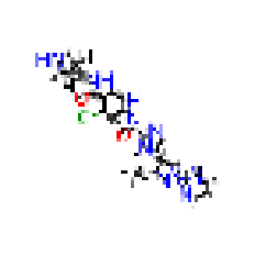 Cn1c(-c2cn(-c3ncccn3)nc2C(F)(F)F)cnc1C(=O)Nc1ccc(C(=O)N[C@@H]2[C@@H]3CNC[C@@H]32)c(Cl)c1